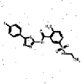 Bc1ccc(S(=O)(=O)NCC)cc1C(=O)Nc1nnc(-c2ccc(F)cc2)s1